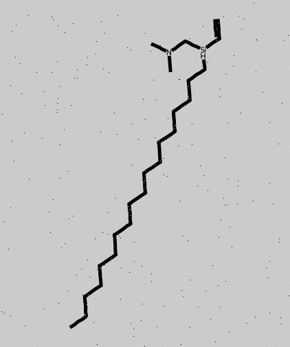 C=C[SiH](CCCCCCCCCCCCCCCCCC)CN(C)C